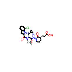 CN(C(=O)c1cc2cccc(Cl)c2[nH]1)[C@@H](CC1CC1)C(=O)NN1CCC[C@@H](CCC(=O)O)C1=O